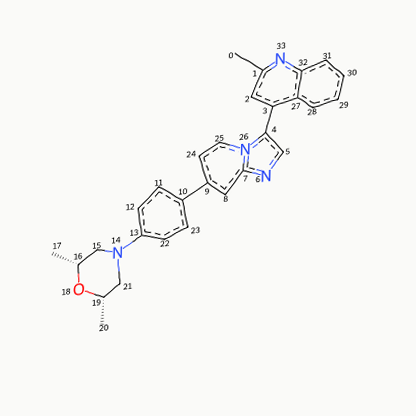 Cc1cc(-c2cnc3cc(-c4ccc(N5C[C@@H](C)O[C@@H](C)C5)cc4)ccn23)c2ccccc2n1